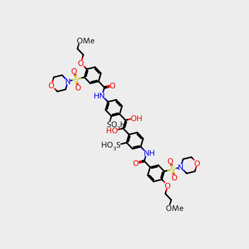 COCCOc1ccc(C(=O)Nc2ccc(/C(O)=C(\O)c3ccc(NC(=O)c4ccc(OCCOC)c(S(=O)(=O)N5CCOCC5)c4)cc3S(=O)(=O)O)c(S(=O)(=O)O)c2)cc1S(=O)(=O)N1CCOCC1